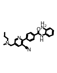 CCCN(C)Cc1cnc(-c2ccc(C(=O)Nc3ccccc3N)cc2)c(C#N)c1